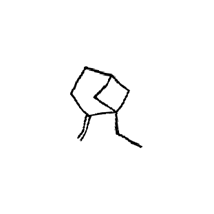 C=C1CCC2CC1(CC)C2